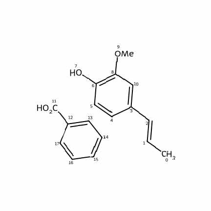 CC=Cc1ccc(O)c(OC)c1.O=C(O)c1ccccc1